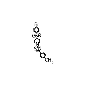 Cc1ccc(-c2csc(N3CCC(S(=O)(=O)c4ccc(Br)cc4)CC3)n2)cc1